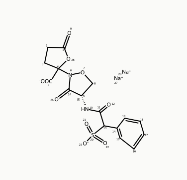 O=C1CCC(C(=O)[O-])(N2OC[C@H](NC(=O)C(c3ccccc3)S(=O)(=O)[O-])C2=O)O1.[Na+].[Na+]